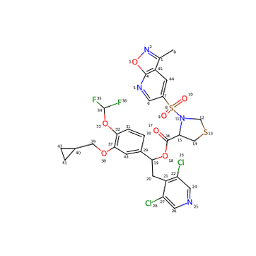 Cc1noc2ncc(S(=O)(=O)N3CSCC3C(=O)OC(Cc3c(Cl)cncc3Cl)c3ccc(OC(F)F)c(OCC4CC4)c3)cc12